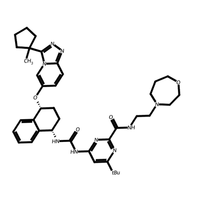 CC(C)(C)c1cc(NC(=O)N[C@H]2CC[C@@H](Oc3ccc4nnc(C5(C)CCCC5)n4c3)c3ccccc32)nc(C(=O)NCCN2CCCOCC2)n1